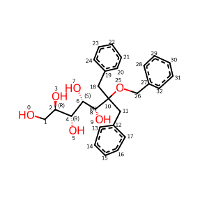 OC[C@@H](O)[C@@H](O)[C@H](O)[C@@H](O)C(Cc1ccccc1)(Cc1ccccc1)OCc1ccccc1